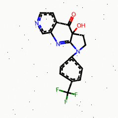 O=C1c2ccncc2N=C2N(c3ccc(C(F)(F)F)cc3)CCC12O